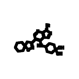 CCn1ncc2c(NC3CCS(O)(O)CC3)c(C3=NOC4(CCCCC4)C3)cnc21